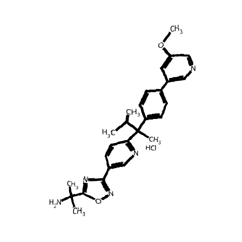 COc1cncc(-c2ccc(C(C)(c3ccc(-c4noc(C(C)(C)N)n4)cn3)C(C)C)cc2)c1.Cl